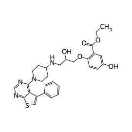 CCOC(=O)c1cc(O)ccc1OCC(O)CNC1CCN(c2ncnc3scc(-c4ccccc4)c23)CC1